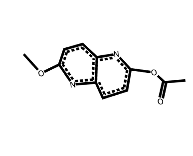 COc1ccc2nc(OC(C)=O)ccc2n1